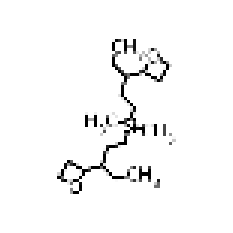 CCC(CC[Si](C)(C)CCC(CC)C1CCO1)C1CCO1